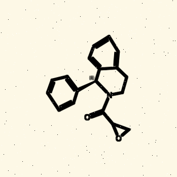 O=C(C1CO1)N1CCc2ccccc2[C@@H]1c1ccccc1